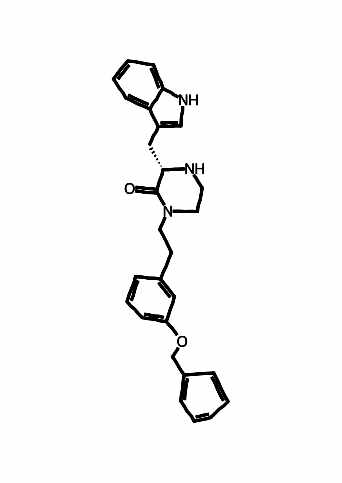 O=C1[C@H](Cc2c[nH]c3ccccc23)NCCN1CCc1cccc(OCc2ccccc2)c1